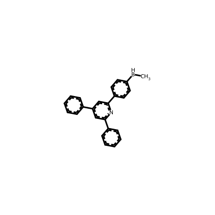 CBc1ccc(-c2cc(-c3ccccc3)cc(-c3ccccc3)n2)cc1